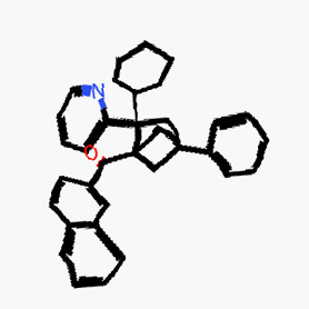 O=C(c1ccc2ccccc2c1)C12CC(c3ccccc3)(C1)C[C@]2(c1ccccn1)C1CCCCC1